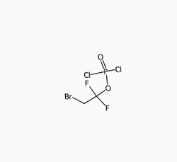 O=P(Cl)(Cl)OC(F)(F)CBr